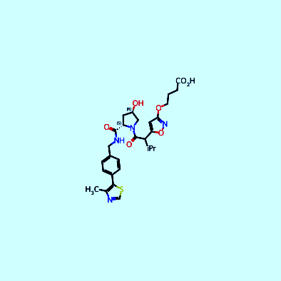 Cc1ncsc1-c1ccc(CNC(=O)[C@@H]2C[C@@H](O)CN2C(=O)C(c2cc(OCCCC(=O)O)no2)C(C)C)cc1